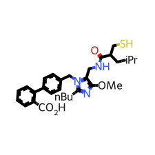 CCCCc1nc(OC)c(CNC(=O)C(CS)CC(C)C)n1Cc1ccc(-c2ccccc2C(=O)O)cc1